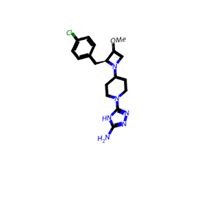 COC1CN(C2CCN(c3nnc(N)[nH]3)CC2)[C@H]1Cc1ccc(Cl)cc1